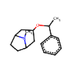 CC(OC1CC2CCC(C1)N2C)c1ccccc1